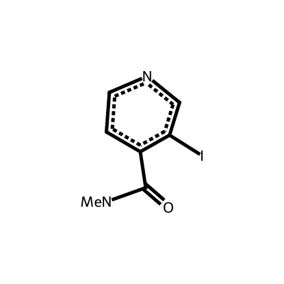 CNC(=O)c1ccncc1I